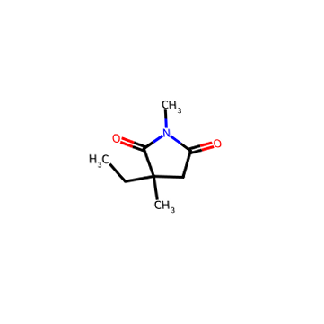 CCC1(C)CC(=O)N(C)C1=O